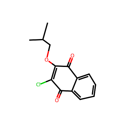 CC(C)COC1=C(Cl)C(=O)c2ccccc2C1=O